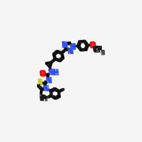 Cc1ccc(C(C)C)c(-n2c(C)cs/c2=N\C(=O)NC2CC2c2ccc(-c3ncn(-c4ccc(OC(F)(F)F)cc4)n3)cc2)c1